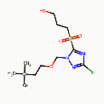 C[Si](C)(C)CCOCn1nc(Br)nc1S(=O)(=O)CCCO